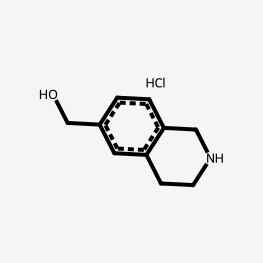 Cl.OCc1ccc2c(c1)CCNC2